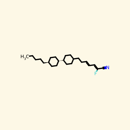 CCCCC[C@H]1CC[C@H](C2CCC(CC/C=C/C=C(\F)C#N)CC2)CC1